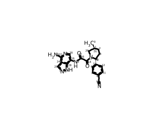 C[C@H]1CC[C@H](c2ccc(C#N)cc2)N(C(=O)C(=O)Nc2cnc(N)c3cn[nH]c23)C1